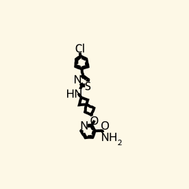 NC(=O)c1cccnc1OC1CC2(CC(Nc3nc(-c4ccc(Cl)cc4)cs3)C2)C1